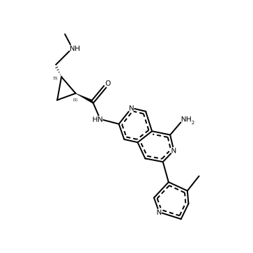 CNC[C@H]1C[C@@H]1C(=O)Nc1cc2cc(-c3cnccc3C)nc(N)c2cn1